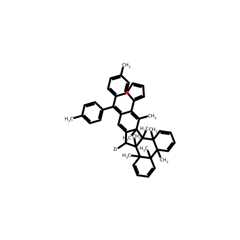 CC1=C(C2=CC=CC2)C(=C(c2ccc(C)cc2)c2ccc(C)cc2)C=C2[CH]([Zr])C3(C)C4(C)C=CC=CC4(C)C4(C)C=CC=CC4(C)C3(C)C21C